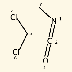 CN=C=O.ClCCl